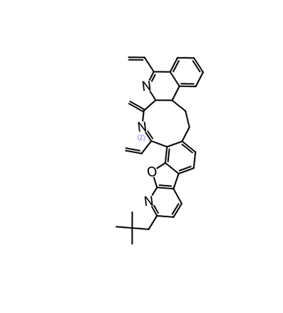 C=CC1=NC2C(=C)/N=C(/C=C)c3c(ccc4c3oc3nc(CC(C)(C)C)ccc34)CCC2c2ccccc21